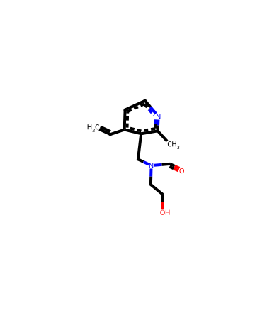 C=Cc1ccnc(C)c1CN(C=O)CCO